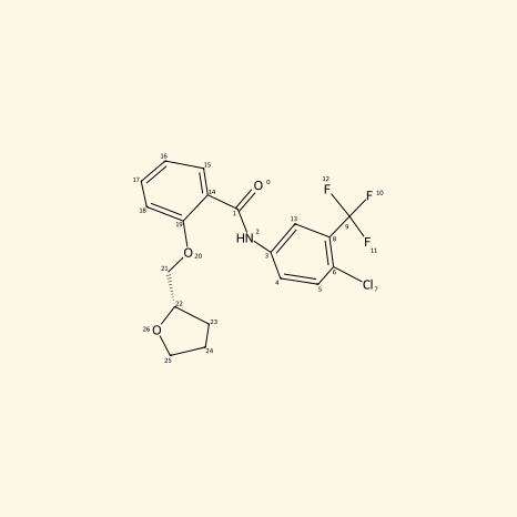 O=C(Nc1ccc(Cl)c(C(F)(F)F)c1)c1ccccc1OC[C@@H]1CCCO1